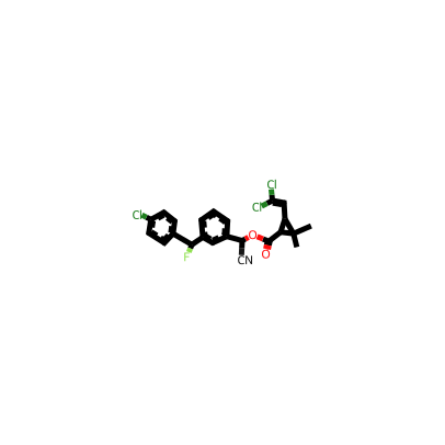 CC1(C)C(C=C(Cl)Cl)C1C(=O)OC(C#N)c1cccc(C(F)c2ccc(Cl)cc2)c1